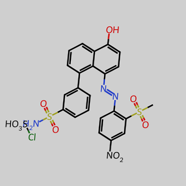 CS(=O)(=O)c1cc([N+](=O)[O-])ccc1N=Nc1ccc(O)c2cccc(-c3cccc(S(N)(=O)=O)c3)c12.O=S(=O)(O)Cl